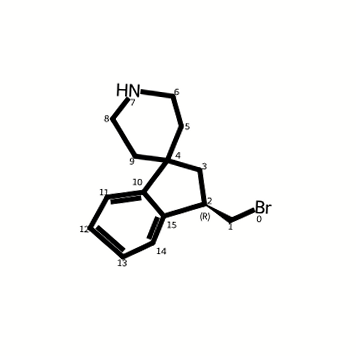 BrC[C@@H]1CC2(CCNCC2)c2ccccc21